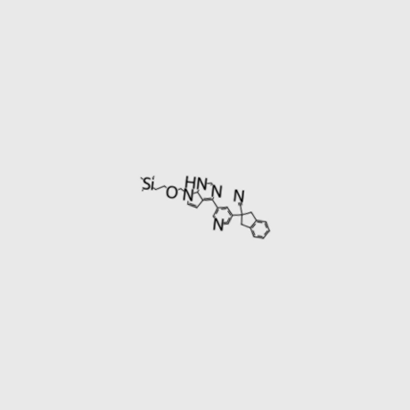 C[Si](C)(C)CCOCN1C=CC2=C(c3cncc(C4(C#N)Cc5ccccc5C4)c3)N=CNC21